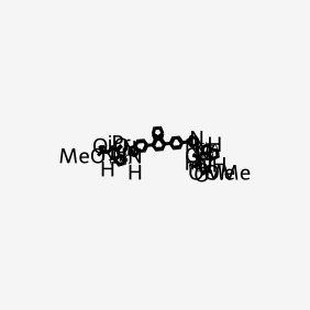 COC(=O)NC(C(=O)N1[C@@H](C)CC[C@H]1c1nc2ccc(-c3ccc(-c4ccc(-c5cnc([C@@H]6C[C@@H]7CCC[C@@H]7N6C(=O)[C@@H](NC(=O)OC)[C@@H](C)OC)[nH]5)cc4)c4c3C3CCC4C3)cc2[nH]1)C(C)C